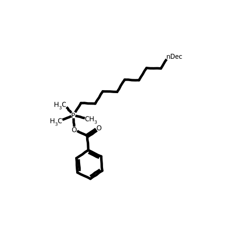 CCCCCCCCCCCCCCCCCCP(C)(C)(C)OC(=O)c1ccccc1